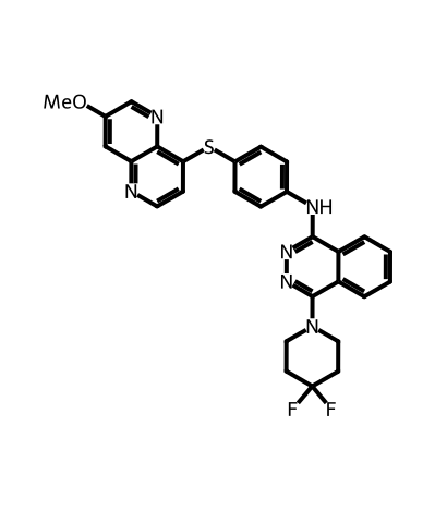 COc1cnc2c(Sc3ccc(Nc4nnc(N5CCC(F)(F)CC5)c5ccccc45)cc3)ccnc2c1